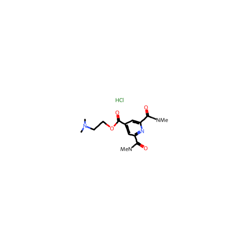 CNC(=O)c1cc(C(=O)OCCN(C)C)cc(C(=O)NC)n1.Cl